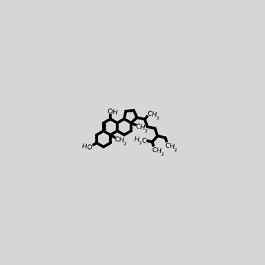 CCC(CCC(C)C1CCC2C3C(O)C=C4CC(O)CCC4(C)C3CCC12C)C(C)C